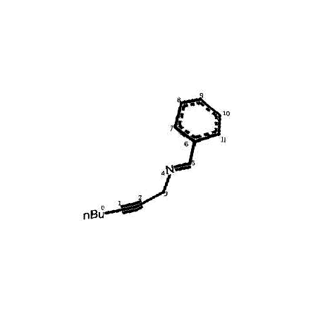 CCCCC#CCN=Cc1ccccc1